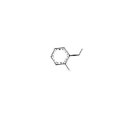 O=[N+]([O-])c1ccccc1[CH]O